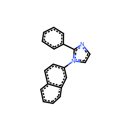 c1ccc(-c2nccn2-c2ccc3ccccc3c2)cc1